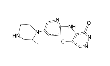 CC1CNCCN1c1ccc(Nc2c(Cl)cnn(C)c2=O)nc1